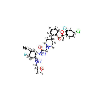 CC1(c2ccc(Cl)cc2F)Oc2cccc(C3CCN(CC(=O)Nc4cc(C#N)c(F)cc4NCC4CCO4)CC3)c2O1